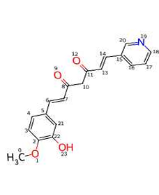 COc1ccc(C=CC(=O)CC(=O)C=Cc2cccnc2)cc1O